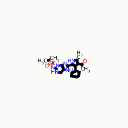 CC(=O)c1c(C)[nH]c(-c2nc3nc(NS(=O)(=O)C(C)C)ncc3[nH]2)c1-c1ccccc1